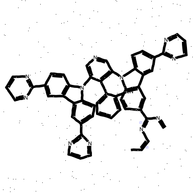 C=N/C(=N\C=C/C)c1ccc2c(c1)c1cc(-c3ncccn3)ccc1n2-c1cncc(-n2c3ccc(-c4ncccn4)cc3c3cc(-c4ncccn4)ccc32)c1-c1ccccc1C#N